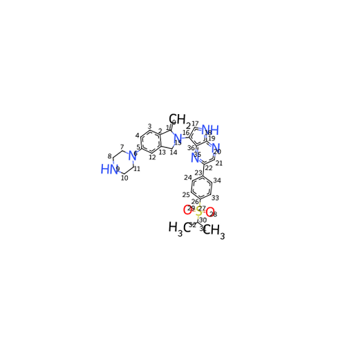 C=C1c2ccc(N3CCNCC3)cc2CN1c1c[nH]c2ncc(-c3ccc(S(=O)(=O)C(C)C)cc3)nc12